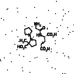 C[C@@]1(C(=O)O)CCCN1N1CCCC1.NCC(=O)N[C@@H](CCC(=O)O)C(=O)O